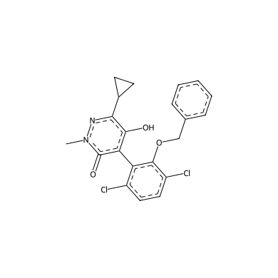 Cn1nc(C2CC2)c(O)c(-c2c(Cl)ccc(Cl)c2OCc2ccccc2)c1=O